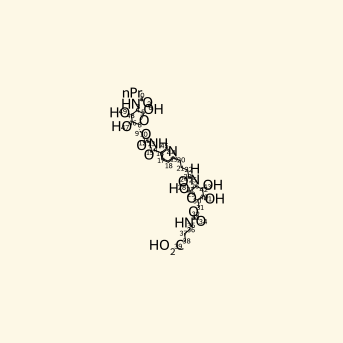 CCCC(=O)N[C@H]1C(O)O[C@H](COC(=O)NC(=O)c2ccc(CCCC(=O)N[C@H]3C(O)O[C@H](COC(=O)NCCCC(=O)O)[C@@H](O)C3O)nc2)[C@@H](O)[C@@H]1O